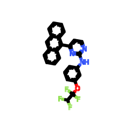 FC(F)C(F)(F)Oc1cccc(Nc2nccc(-c3c4ccccc4cc4ccccc34)n2)c1